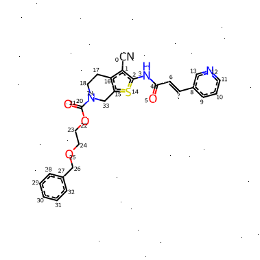 N#Cc1c(NC(=O)C=Cc2cccnc2)sc2c1CCN(C(=O)OCCOCc1ccccc1)C2